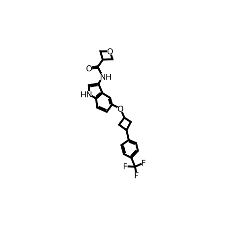 O=C(Nc1c[nH]c2ccc(OC3CC(c4ccc(C(F)(F)F)cc4)C3)cc12)C1COC1